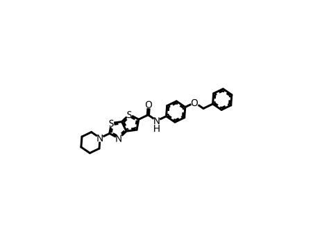 O=C(Nc1ccc(OCc2ccccc2)cc1)c1cc2nc(N3CCCCC3)sc2s1